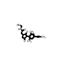 CC#Cc1cc(C)c(C2C(=O)CC(CC(=O)NCC(C)(C)C)C2=O)c(C)c1